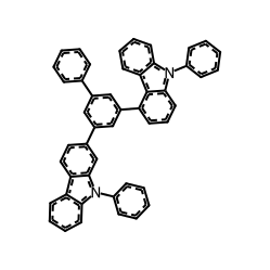 c1ccc(-c2cc(-c3ccc4c5ccccc5n(-c5ccccc5)c4c3)cc(-c3cccc4c3c3ccccc3n4-c3ccccc3)c2)cc1